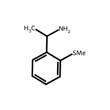 CSc1ccccc1C(C)N